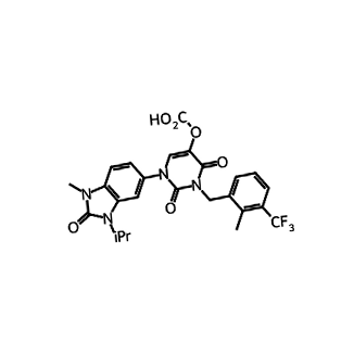 Cc1c(Cn2c(=O)c(OC(=O)O)cn(-c3ccc4c(c3)n(C(C)C)c(=O)n4C)c2=O)cccc1C(F)(F)F